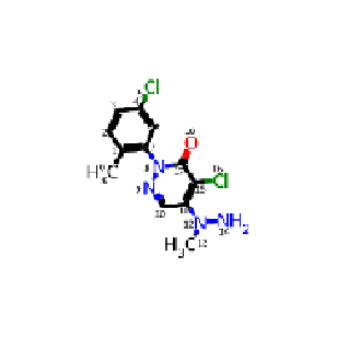 Cc1ccc(Cl)cc1-n1ncc(N(C)N)c(Cl)c1=O